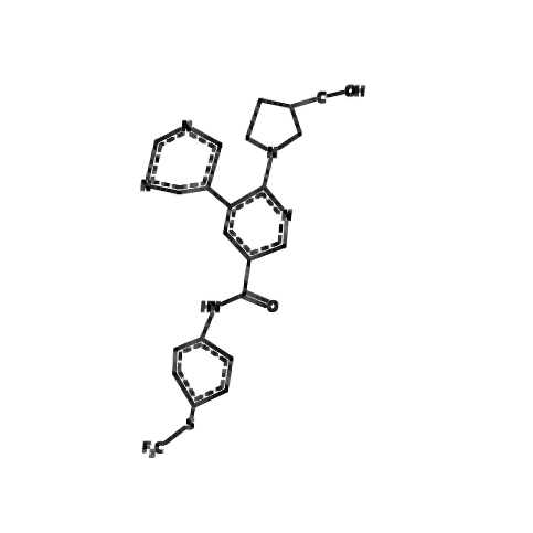 O=C(Nc1ccc(SC(F)(F)F)cc1)c1cnc(N2CCC(CO)C2)c(-c2cncnc2)c1